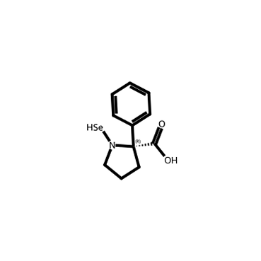 O=C(O)[C@]1(c2ccccc2)CCCN1[SeH]